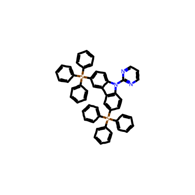 c1ccc(S(c2ccccc2)(c2ccccc2)c2ccc3c(c2)c2cc(S(c4ccccc4)(c4ccccc4)c4ccccc4)ccc2n3-c2ncccn2)cc1